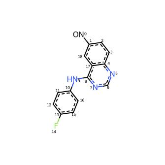 O=Nc1ccc2ncnc(Nc3ccc(F)cc3)c2c1